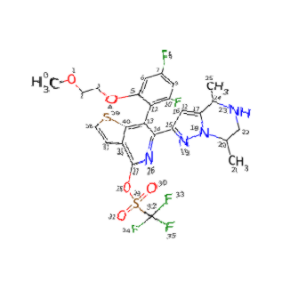 COCCOc1cc(F)cc(F)c1-c1c(-c2cc3n(n2)C(C)CNC3C)nc(OS(=O)(=O)C(F)(F)F)c2ccsc12